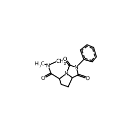 CN(C)C(=O)C1CCC2C(=O)N(c3ccccc3)C(=O)N12